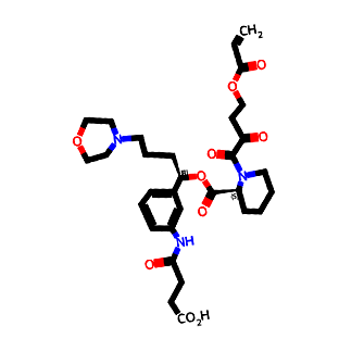 C=CC(=O)OCCC(=O)C(=O)N1CCCC[C@H]1C(=O)O[C@H](CCCN1CCOCC1)c1cccc(NC(=O)CCC(=O)O)c1